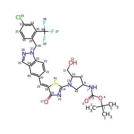 CC(C)(C)OC(=O)NC1CC(CO)N(C2=NC(=O)/C(=C/c3ccc4c(cnn4Cc4ccc(Cl)cc4C(F)(F)F)c3)S2)C1